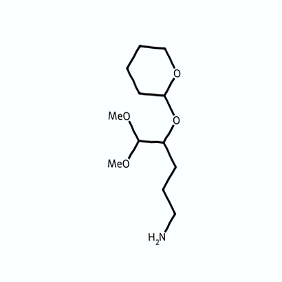 COC(OC)C(CCCN)OC1CCCCO1